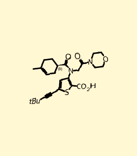 CC1=CC[C@H](C(=O)N(CC(=O)N2CCOCC2)c2cc(C#CC(C)(C)C)sc2C(=O)O)CC1